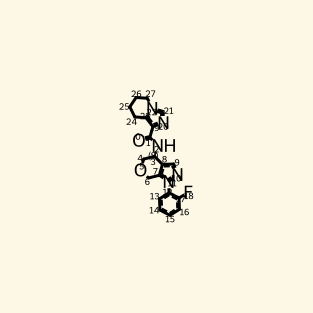 O=C(N[C@@H]1COCc2c1cnn2-c1ccccc1F)c1ncn2c1CCCC2